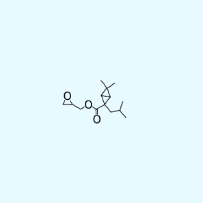 CC(C)CC1(C(=O)OCC2CO2)C2C1C2(C)C